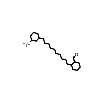 CC1CCCC(CCCCCCCCCCC2CCCCC2C=O)C1